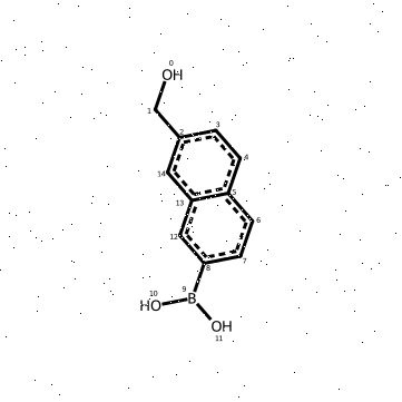 OCc1ccc2ccc(B(O)O)cc2c1